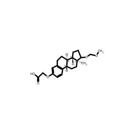 COCOC1CC[C@H]2[C@@H]3CCc4cc(OCC(=O)O)ccc4[C@H]3CC[C@]12C